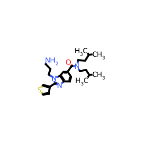 CC(C)CCN(CCC(C)C)C(=O)c1ccc2nc(-c3ccsc3)n(CCCN)c2c1